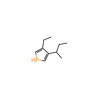 CCc1c[pH]cc1C(C)CC